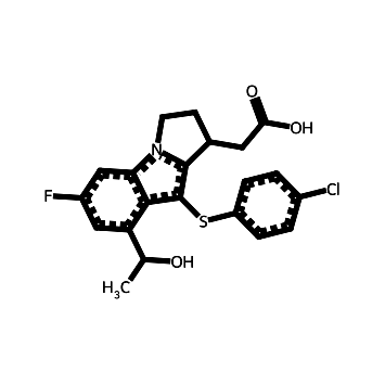 CC(O)c1cc(F)cc2c1c(Sc1ccc(Cl)cc1)c1n2CCC1CC(=O)O